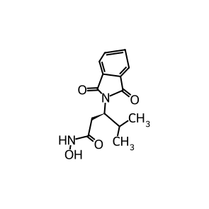 CC(C)[C@@H](CC(=O)NO)N1C(=O)c2ccccc2C1=O